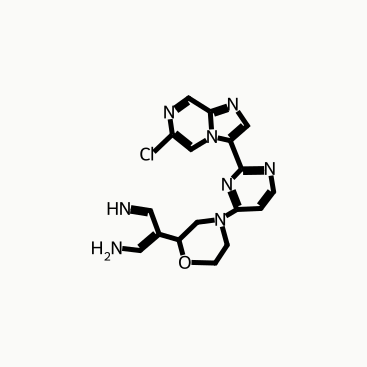 N=C/C(=C\N)C1CN(c2ccnc(-c3cnc4cnc(Cl)cn34)n2)CCO1